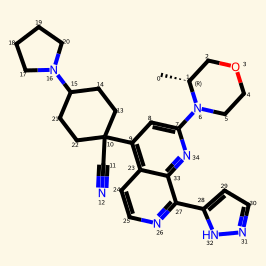 C[C@@H]1COCCN1c1cc(C2(C#N)CCC(N3CCCC3)CC2)c2ccnc(-c3ccn[nH]3)c2n1